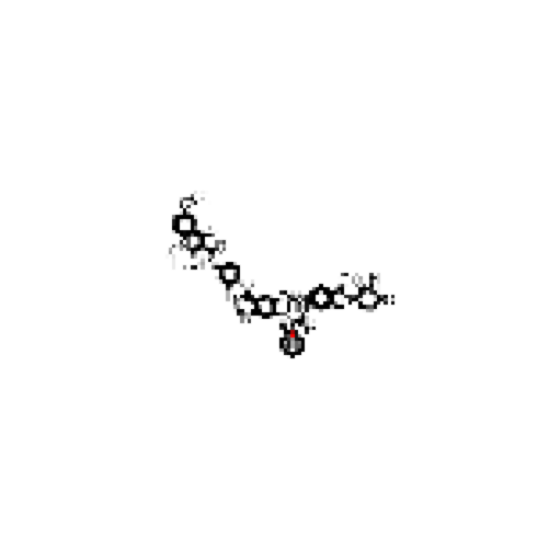 COc1cc2c(Oc3ccc(NC(=O)c4c(C)n(C)c5ccc(OC(F)(F)F)cc5c4=O)cc3F)ncnc2cc1OCC(=O)N1C2CC1CN(CC(=O)Nc1ccc3c(c1)CN(C1CCC(=O)NC1=O)C3=O)C2